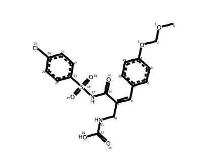 COCOc1ccc(C=C(CNC(=O)O)C(=O)NS(=O)(=O)c2ccc(Cl)cc2)cc1